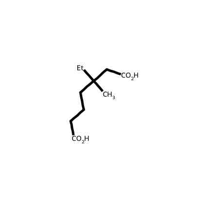 CCC(C)(CCCC(=O)O)CC(=O)O